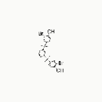 CC(C)(c1cccc(C(C)(C)c2ccc(O)c(Br)c2)c1)c1ccc(O)c(Br)c1